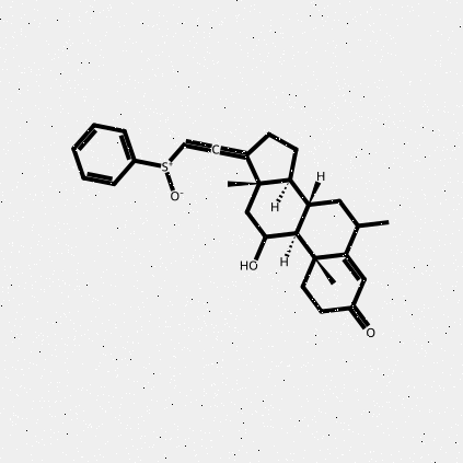 CC1C[C@@H]2[C@H](C(O)C[C@]3(C)C(=C=C[S+]([O-])c4ccccc4)CC[C@@H]23)[C@@]2(C)CCC(=O)C=C12